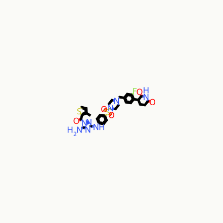 Cc1ccsc1C(=O)n1nc(Nc2ccc(S(=O)(=O)N3CCN(Cc4ccc(C5CCC(=O)NC5=O)c(F)c4)CC3)cc2)nc1N